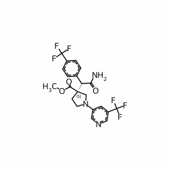 COC(=O)[C@]1(C(C(N)=O)c2ccc(C(F)(F)F)cc2)CCN(c2cncc(C(F)(F)F)c2)C1